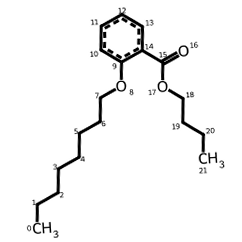 CCCCCCCCOc1ccccc1C(=O)OCCCC